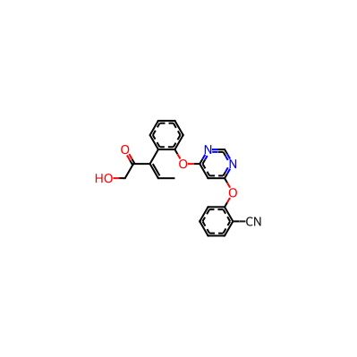 C/C=C(/C(=O)CO)c1ccccc1Oc1cc(Oc2ccccc2C#N)ncn1